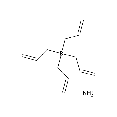 C=CC[B-](CC=C)(CC=C)CC=C.[NH4+]